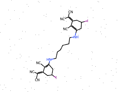 N#CC(C#N)=C1CC(I)CC(NCCCCCCNC2=C(C#N)C(=C(C#N)C#N)CC(I)C2)=C1C#N